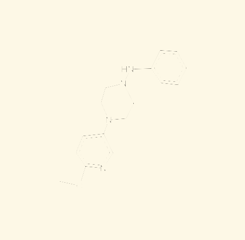 COc1ccc(N2CCN(Nc3ccccc3)CC2)cn1